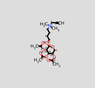 C#CC[N+](C)(C)CCCCOC1OC[C@@H](OC(C)=O)[C@@H](OC(C)=O)[C@H]1OC(C)=O